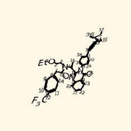 CCOCCN(C(=O)Cc1ccc(C(F)(F)F)cc1)C(C)c1nc2ccccc2c(=O)n1-c1ccc(C#C[Si](C)(C)C)cc1